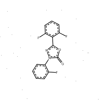 O=c1oc(-c2c(F)cccc2F)nn1-c1ccccc1F